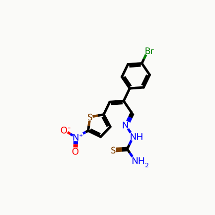 NC(=S)NN=CC(=Cc1ccc([N+](=O)[O-])s1)c1ccc(Br)cc1